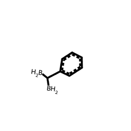 BC(B)c1ccccc1